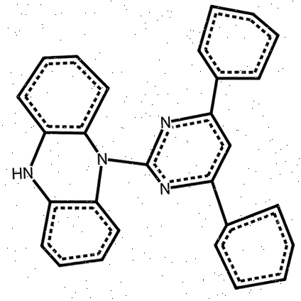 c1ccc(-c2cc(-c3ccccc3)nc(N3c4ccccc4Nc4ccccc43)n2)cc1